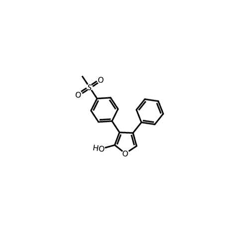 CS(=O)(=O)c1ccc(-c2c(-c3ccccc3)coc2O)cc1